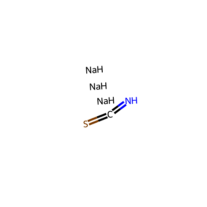 N=C=S.[NaH].[NaH].[NaH]